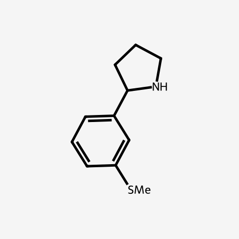 CSc1cccc(C2CCCN2)c1